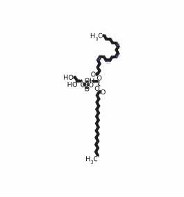 CCCCC/C=C\C/C=C\C/C=C\C/C=C\CCCC(=O)O[C@H](COC(=O)CCCCCCCCCCCCCCCCCCC)COP(=O)(O)OC[C@@H](O)CO